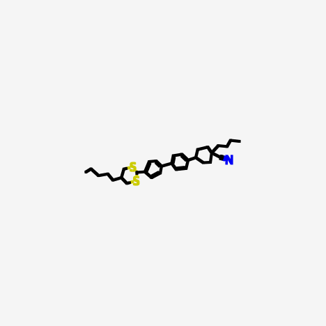 CCCCCC1CSC(c2ccc(-c3ccc(C4CCC(C#N)(CCCC)CC4)cc3)cc2)SC1